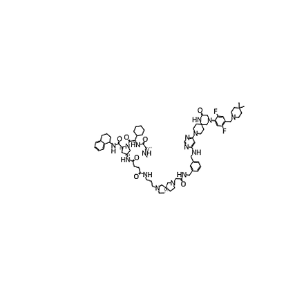 CN[C@@H](C)C(=O)N[C@H](C(=O)N1C[C@@H](NC(=O)CCC(=O)NCCCN2CC[C@]3(CCN(CC(=O)NCc4cccc(CNc5cc(N6CCC7(CC6)CN(c6cc(F)c(CN8CCC(C)(C)CC8)cc6F)CC(=O)N7)ncn5)c4)C3)C2)C[C@H]1C(=O)NC1CCCc2ccccc21)C1CCCCC1